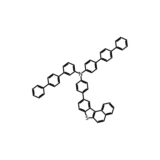 c1ccc(-c2ccc(-c3ccc(N(c4ccc(-c5ccc6sc7ccc8ccccc8c7c6c5)cc4)c4cccc(-c5ccc(-c6ccccc6)cc5)c4)cc3)cc2)cc1